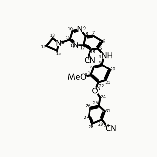 COc1cc(Nc2ccc3ncc(N4CCC4)nc3c2C#N)ccc1OCc1cccc(C#N)c1